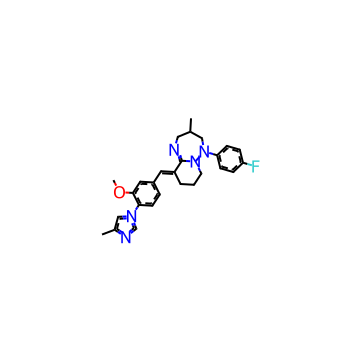 COc1cc(/C=C2\CCCN3C2=NCC(C)CN3c2ccc(F)cc2)ccc1-n1cnc(C)c1